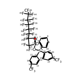 O=S(=O)(OS(c1ccccc1)(c1ccc(C(F)(F)F)cc1)c1ccc(C(F)(F)F)cc1)C(F)(F)C(F)(F)C(F)(F)C(F)(F)C(F)(F)C(F)(F)C(F)(F)C(F)(F)F